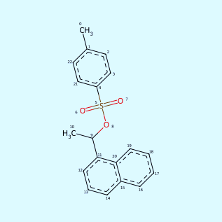 Cc1ccc(S(=O)(=O)OC(C)c2cccc3ccccc23)cc1